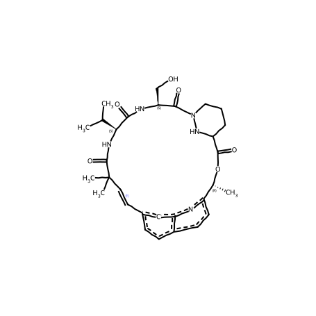 CC(C)[C@@H]1NC(=O)C(C)(C)/C=C/c2ccc3ccc(nc3c2)[C@@H](C)OC(=O)C2CCCN(N2)C(=O)[C@H](CO)NC1=O